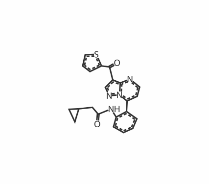 O=C(CC1CC1)Nc1ccccc1-c1ccnc2c(C(=O)c3cccs3)cnn12